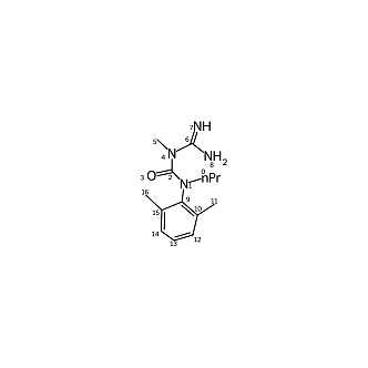 CCCN(C(=O)N(C)C(=N)N)c1c(C)cccc1C